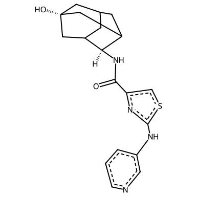 O=C(N[C@H]1C2CC3CC1C[C@](O)(C3)C2)c1csc(Nc2cccnc2)n1